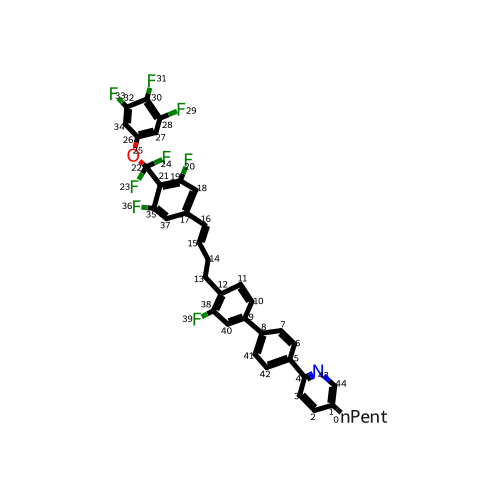 CCCCCc1ccc(-c2ccc(-c3ccc(CC/C=C/c4cc(F)c(C(F)(F)Oc5cc(F)c(F)c(F)c5)c(F)c4)c(F)c3)cc2)nc1